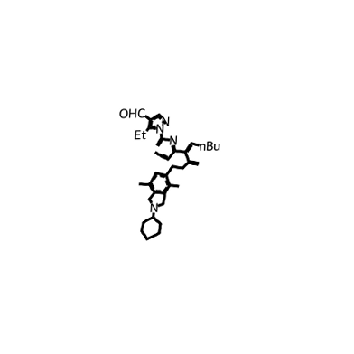 C=C(CCc1cc(C)c2c(c1C)CN(C1CCCCC1)C2)C(=C\CCCC)/C(/C=C\C)=N/C(=C)n1ncc(C=O)c1CC